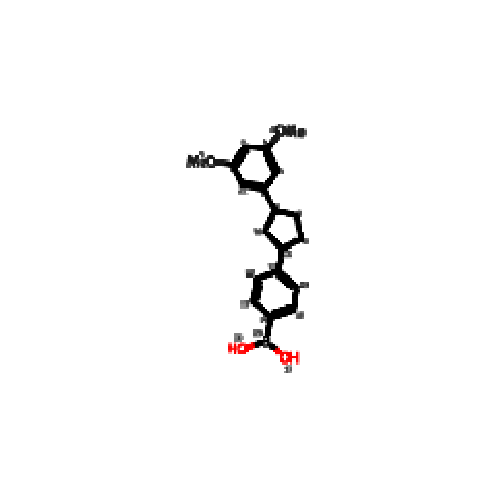 COc1cc(OC)cc(C2CCC(c3ccc(B(O)O)cc3)C2)c1